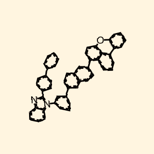 c1ccc(-c2ccc(-c3nc4ccccc4n3-c3cccc(-c4ccc5cc(-c6ccc7c8c(cccc68)-c6ccccc6O7)ccc5c4)c3)cc2)cc1